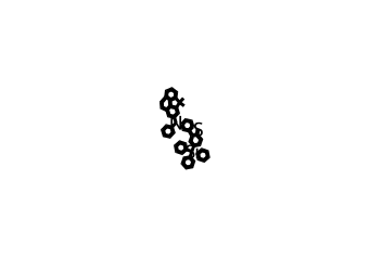 CC1(C)c2cccc3ccc4cc(N(c5ccccc5)c5ccc6sc7ccc([Si](c8ccccc8)(c8ccccc8)c8ccccc8)cc7c6c5)cc1c4c23